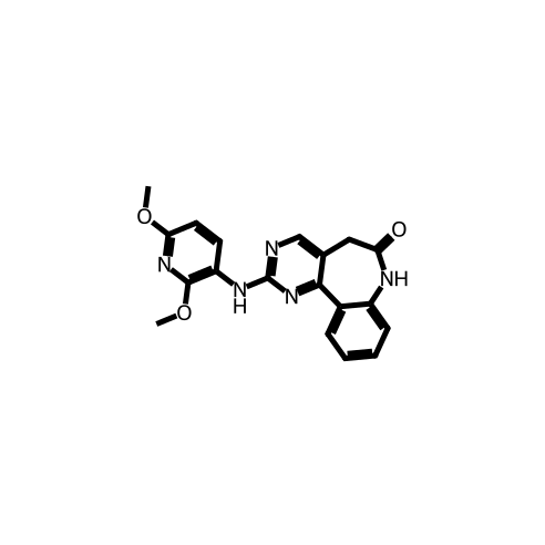 COc1ccc(Nc2ncc3c(n2)-c2ccccc2NC(=O)C3)c(OC)n1